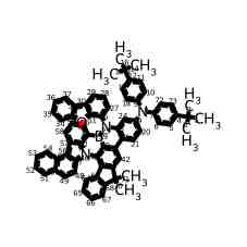 CC(C)(C)c1ccc(N(c2ccc(C(C)(C)C)cc2)c2ccc3c(c2)N(c2cccc4c2oc2ccccc24)B2c4c-3cc3c(c4-n4c5ccc6ccccc6c5c5cccc2c54)-c2ccccc2C3(C)C)cc1